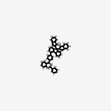 c1ccc(-c2nc(-c3ccc(-c4cccc5c4-c4ccccc4C54c5ccc6ccccc6c5Oc5c4ccc4ccccc54)cc3)c3ccccc3n2)cc1